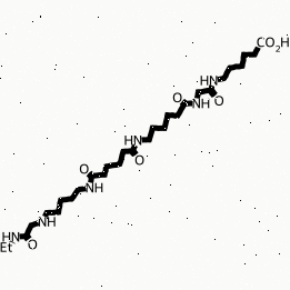 CCNC(=O)CNCCCCCNC(=O)CCCCC(=O)NCCCCCC(=O)NCC(=O)NCCCCCC(=O)O